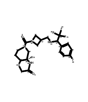 O=C1COC2CCN(C(=O)N3CC(CNC(c4ccc(F)cc4)C(F)(F)F)C3)C[C@H]2N1